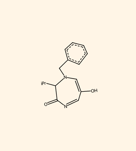 CC(C)C1C(=O)N=CC(O)=CN1Cc1ccccc1